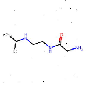 CCCC(CC)NCCNC(=O)CN